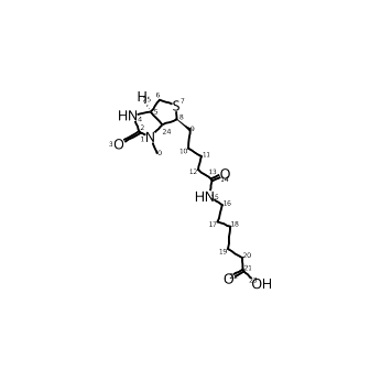 CN1C(=O)N[C@H]2CS[C@@H](CCCCC(=O)NCCCCCC(=O)O)C21